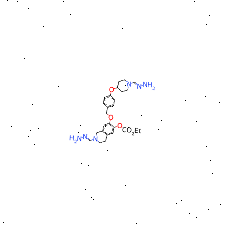 CCOC(=O)Oc1cc2c(cc1OCc1ccc(OC3CCN(C=NN)CC3)cc1)CN(C=NN)CC2